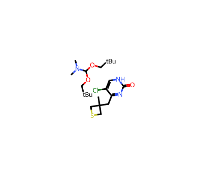 CC1(Cc2nc(=O)[nH]cc2Cl)CSC1.CN(C)C(OCC(C)(C)C)OCC(C)(C)C